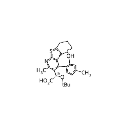 Cc1ccc(-c2c([C@H](OC(C)(C)C)C(=O)O)c(C)nc3sc4c(c23)CCCC4)c(O)c1